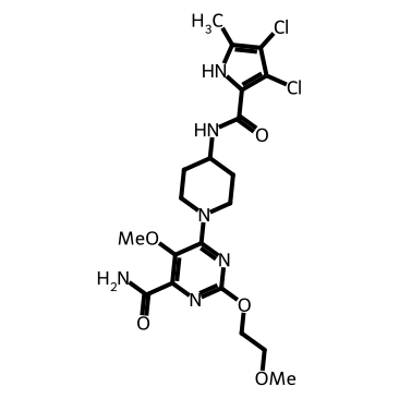 COCCOc1nc(C(N)=O)c(OC)c(N2CCC(NC(=O)c3[nH]c(C)c(Cl)c3Cl)CC2)n1